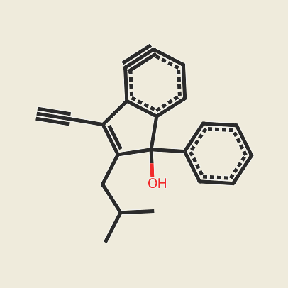 C#CC1=C(CC(C)C)C(O)(c2ccccc2)c2ccc#cc21